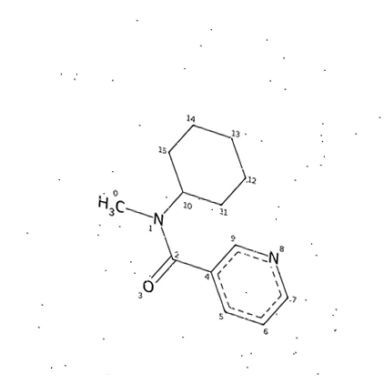 CN(C(=O)c1cccnc1)C1CCCCC1